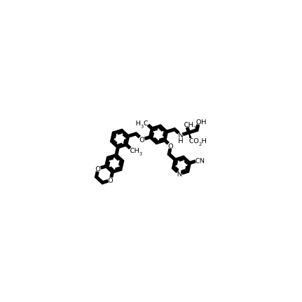 Cc1cc(CN[C@](C)(CO)C(=O)O)c(OCc2cncc(C#N)c2)cc1OCc1cccc(-c2ccc3c(c2)OCCO3)c1C